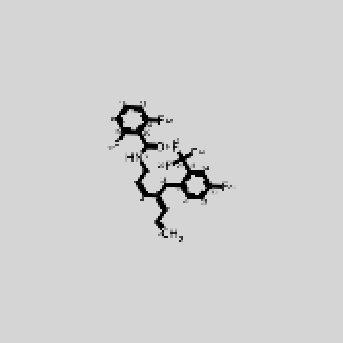 C=C/C=C(\C=C/CNC(=O)c1c(F)cccc1F)Cc1ccc(F)cc1C(F)(F)F